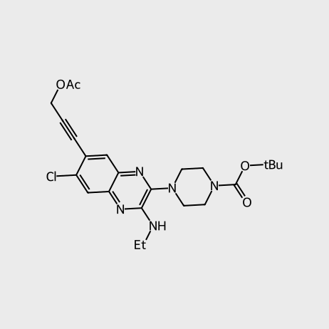 CCNc1nc2cc(Cl)c(C#CCOC(C)=O)cc2nc1N1CCN(C(=O)OC(C)(C)C)CC1